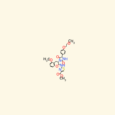 COCCOc1ccc(C2NC(=O)N(C(Cc3ccccc3OC)C(=O)Nc3nc(C(=O)OC)cs3)C2=O)cc1